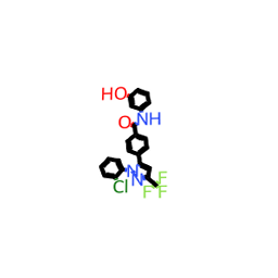 O=C(Nc1cccc(O)c1)c1ccc(-c2cc(C(F)(F)F)nn2-c2ccccc2Cl)cc1